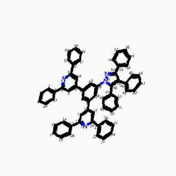 c1ccc(-c2cc(-c3cc(-c4cc(-c5ccccc5)nc(-c5ccccc5)c4)cc(-n4nc(-c5ccccc5)c(-c5ccccc5)c4-c4ccccc4)c3)cc(-c3ccccc3)n2)cc1